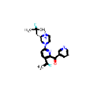 C=C(F)c1ccc(N2CCN[C@@H](CC(C)(C)F)C2)nc1C(=O)c1cccnc1